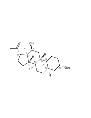 C=C(C)[C@H]1CC[C@H]2[C@@H]3CC[C@@H]4C[C@@H](OC(C)=O)CC[C@]4(C)[C@H]3C[C@H](O)[C@]12C